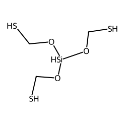 SCO[SiH](OCS)OCS